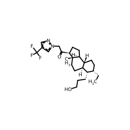 CC[C@H]1CC[C@@H]2[C@H](CC[C@]3(C)[C@@H](C(=O)Cn4cc(C(F)(F)F)cn4)CC[C@@H]23)[C@H]1CCCO